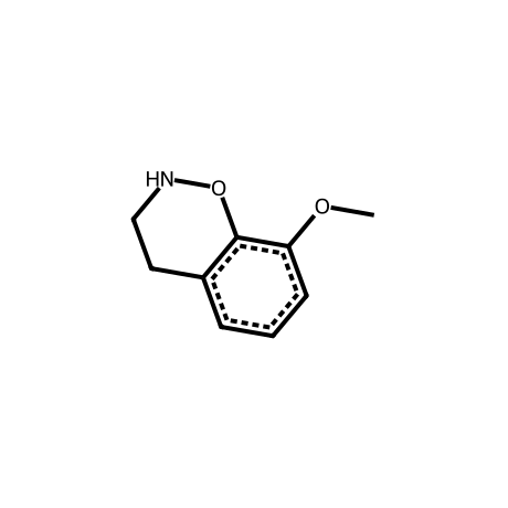 COc1cccc2c1ONCC2